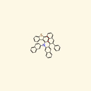 c1ccc(-c2cc3ccccc3cc2-c2cc3ccccc3cc2N(c2ccc3ccccc3c2)c2cccc3sc4ccccc4c23)cc1